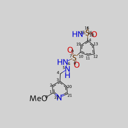 COc1cc(CNNS(=O)(=O)c2cccc(S(C)(=N)=O)c2)ccn1